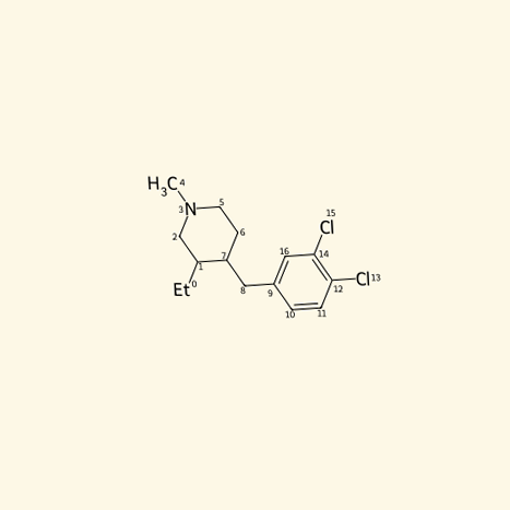 CCC1CN(C)CCC1Cc1ccc(Cl)c(Cl)c1